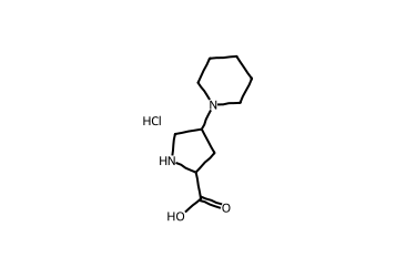 Cl.O=C(O)C1CC(N2CCCCC2)CN1